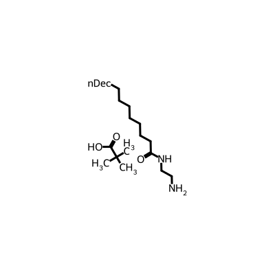 CC(C)(C)C(=O)O.CCCCCCCCCCCCCCCCCC(=O)NCCN